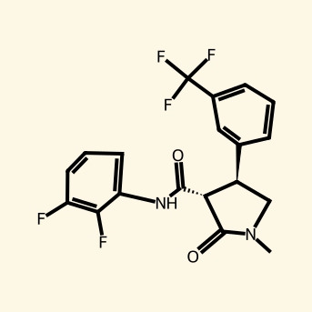 CN1C[C@H](c2cccc(C(F)(F)F)c2)[C@@H](C(=O)Nc2cccc(F)c2F)C1=O